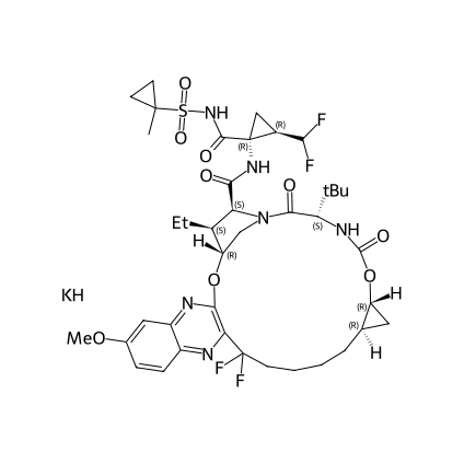 CC[C@@H]1[C@@H]2CN(C(=O)[C@H](C(C)(C)C)NC(=O)O[C@@H]3C[C@H]3CCCCC(F)(F)c3nc4ccc(OC)cc4nc3O2)[C@@H]1C(=O)N[C@]1(C(=O)NS(=O)(=O)C2(C)CC2)C[C@H]1C(F)F.[KH]